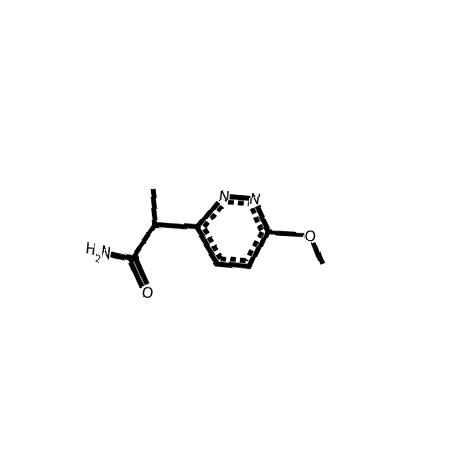 COc1ccc(C(C)C(N)=O)nn1